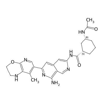 CC(=O)N[C@@H]1CCC[C@H](C(=O)Nc2cc3cc(-c4cnc5c(c4C)NCCO5)nc(N)c3cn2)C1